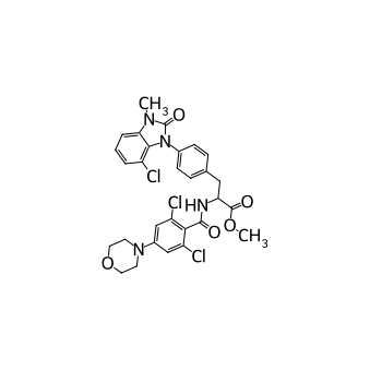 COC(=O)C(Cc1ccc(-n2c(=O)n(C)c3cccc(Cl)c32)cc1)NC(=O)c1c(Cl)cc(N2CCOCC2)cc1Cl